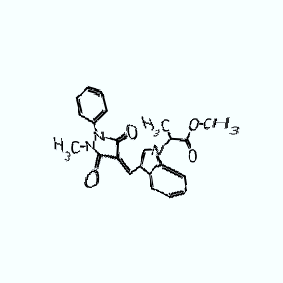 COC(=O)C(C)n1cc(C=C2C(=O)N(C)N(c3ccccc3)C2=O)c2ccccc21